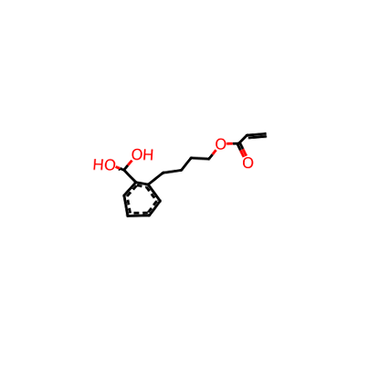 C=CC(=O)OCCCCc1ccccc1[C](O)O